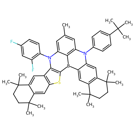 Cc1cc2c3c(c1)N(c1ccc(F)cc1F)c1c(sc4cc5c(cc14)C(C)(C)CCC5(C)C)B3c1cc3c(cc1N2c1ccc(C(C)(C)C)cc1)C(C)(C)CCC3(C)C